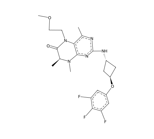 COCCN1C(=O)[C@H](C)N(C)c2nc(N[C@H]3C[C@H](Oc4cc(F)c(F)c(F)c4)C3)nc(C)c21